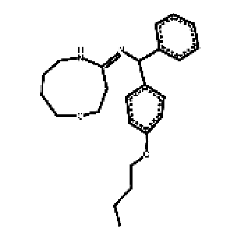 CCCCOc1ccc(C(N=C2CCCCCCCN2)c2ccccc2)cc1